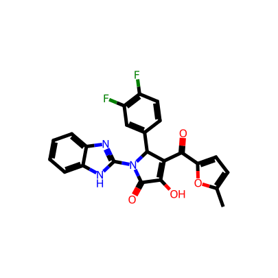 Cc1ccc(C(=O)C2=C(O)C(=O)N(c3nc4ccccc4[nH]3)C2c2ccc(F)c(F)c2)o1